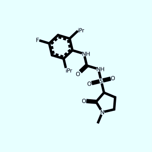 CC(C)c1cc(F)cc(C(C)C)c1NC(=O)NS(=O)(=O)C1CCN(C)C1=O